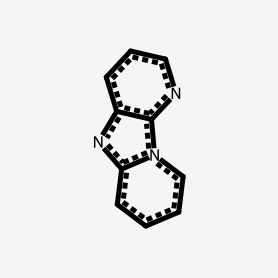 c1cnc2c(c1)nc1ccccn12